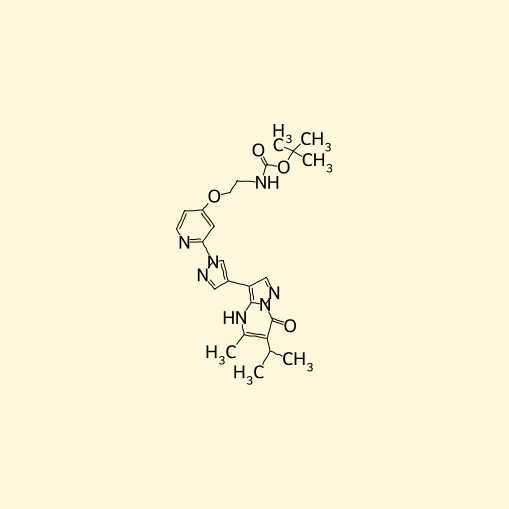 Cc1[nH]c2c(-c3cnn(-c4cc(OCCNC(=O)OC(C)(C)C)ccn4)c3)cnn2c(=O)c1C(C)C